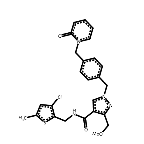 COCc1nn(Cc2ccc(Cn3ccccc3=O)cc2)cc1C(=O)NCc1sc(C)cc1Cl